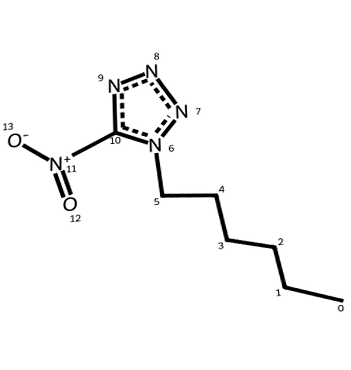 CCCCCCn1nnnc1[N+](=O)[O-]